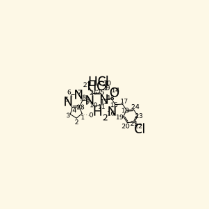 C[C@@H]1CCc2ncnc(N3CCN(C(=O)[C@H](N)Cc4ccc(Cl)cc4)C[C@@H]3C)c21.Cl.Cl